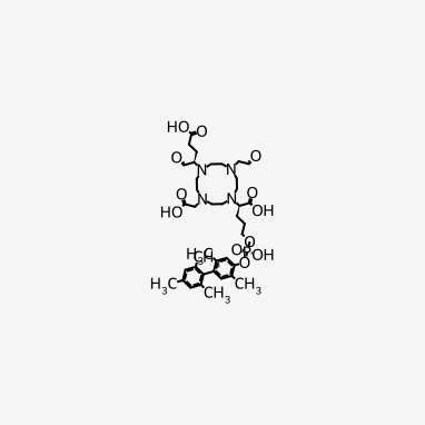 Cc1cc(C)c(-c2cc(C)c(OP(=O)(O)OCCC[C@H](C(=O)O)N3CCN(CC=O)CCN([C@@H](C=O)CCC(=O)O)CCN(CC(=O)O)CC3)cc2C)c(C)c1